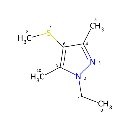 CCn1nc(C)c(SC)c1C